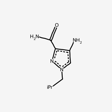 CC(C)Cn1cc(N)c(C(N)=O)n1